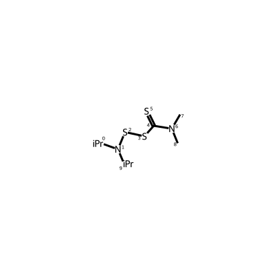 CC(C)N(SSC(=S)N(C)C)C(C)C